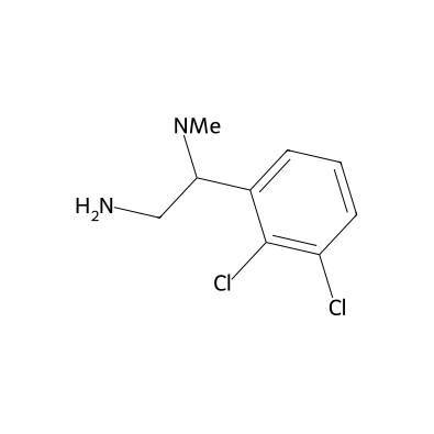 CNC(CN)c1cccc(Cl)c1Cl